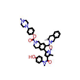 Cc1c(C(=O)N(C)c2ccc(O)cc2)cc(-c2cc3c(cc2C(=O)N2Cc4ccccc4C[C@H]2C)CN(C(=O)Oc2ccc(N4CCN(C)CC4)cc2)CC3)n1C